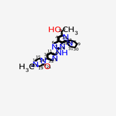 CC(O)c1cc2cnc(Nc3ccc(N4CCN(C)CC4=O)cn3)nc2c(N2C3CCC2CC3)n1